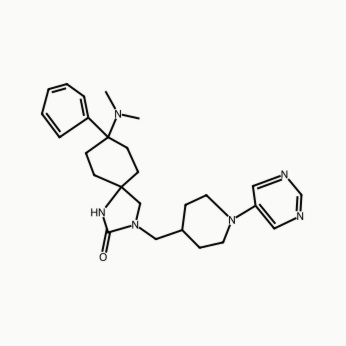 CN(C)C1(c2ccccc2)CCC2(CC1)CN(CC1CCN(c3cncnc3)CC1)C(=O)N2